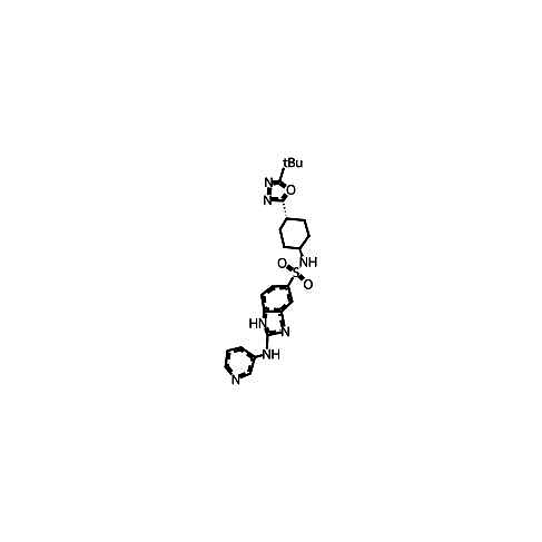 CC(C)(C)c1nnc([C@H]2CC[C@H](NS(=O)(=O)c3ccc4[nH]c(Nc5cccnc5)nc4c3)CC2)o1